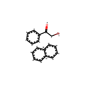 O=C(CBr)c1ccccc1.c1ccc2ccccc2c1